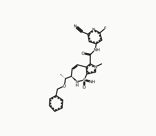 C[C@@H](OCc1ccccc1)[C@H]1C=Cc2c(cn(C)c2C(=O)Nc2cc(F)nc(C#N)c2)S(=N)(=O)N1